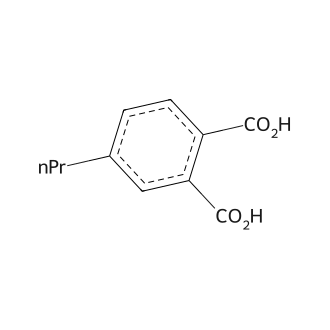 CCCc1ccc(C(=O)O)c(C(=O)O)c1